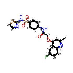 Cc1cc(OCC(=O)Nc2ccc(S(=O)(=O)Nc3nccs3)cc2)c2cc(F)ccc2n1